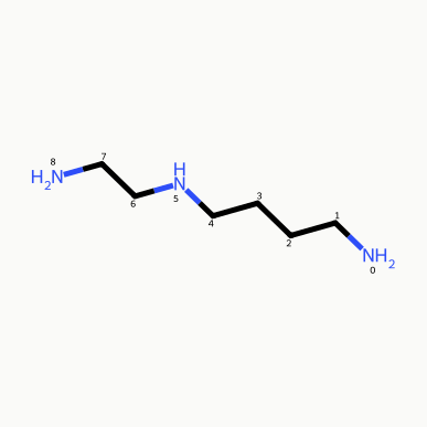 NCCCCNCCN